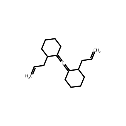 C=CCC1CCCCC1=C=C1CCCCC1CC=C